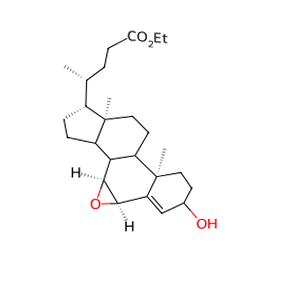 CCOC(=O)CC[C@@H](C)[C@H]1CCC2C3C(CC[C@@]21C)[C@@]1(C)CCC(O)C=C1[C@H]1O[C@@H]31